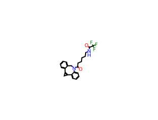 O=C(CCCCCNC(=O)C(F)(F)F)N1Cc2ccccc2C2=C(C2)c2ccccc21